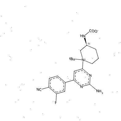 CC(C)(C)[N+]1(c2cc(-c3ccc(C#N)c(F)c3)nc(N)n2)CCC[C@H](NC(=O)[O-])C1